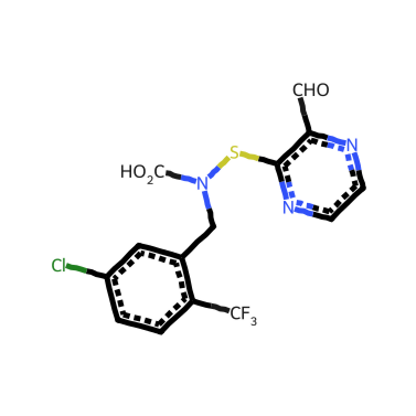 O=Cc1nccnc1SN(Cc1cc(Cl)ccc1C(F)(F)F)C(=O)O